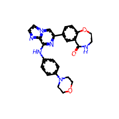 O=C1NCCOc2ccc(-c3cn4ccnc4c(Nc4ccc(N5CCOCC5)cc4)n3)cc21